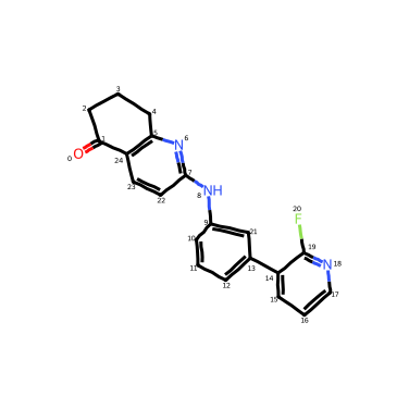 O=C1CCCc2nc(Nc3cccc(-c4cccnc4F)c3)ccc21